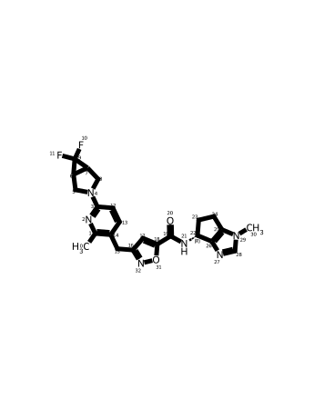 Cc1nc(N2CC3C(C2)C3(F)F)ccc1Cc1cc(C(=O)N[C@@H]2CCc3c2ncn3C)on1